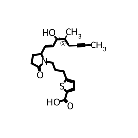 CC#CC[C@H](C)[C@H](O)C=CC1CCC(=O)N1CCCc1ccc(C(=O)O)s1